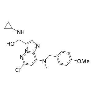 COc1ccc(CN(C)c2cc(Cl)nn3c(C(O)NC4CC4)cnc23)cc1